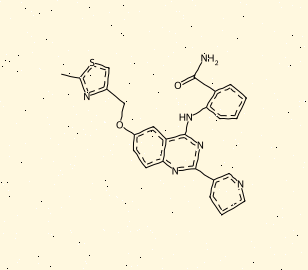 Cc1nc(COc2ccc3nc(-c4cccnc4)nc(Nc4ccccc4C(N)=O)c3c2)cs1